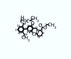 CCOC(=O)C1CCCCN1Cc1c(OC(C)C)cc(-c2c(CC)cccc2CC)nc1C